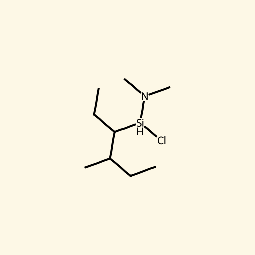 CCC(C)C(CC)[SiH](Cl)N(C)C